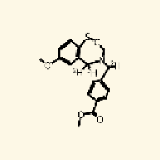 [2H]C(c1ccc(C(=O)OC)cc1)N1CCSc2ccc(OC)cc2C1([2H])[2H]